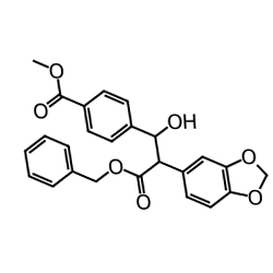 COC(=O)c1ccc(C(O)C(C(=O)OCc2ccccc2)c2ccc3c(c2)OCO3)cc1